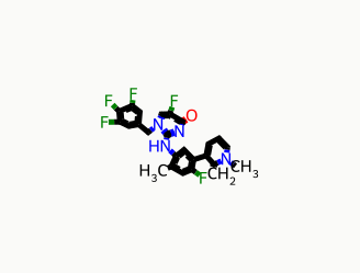 C=C1C(c2cc(Nc3nc(=O)c(F)cn3Cc3cc(F)c(F)c(F)c3)c(C)cc2F)=CC=CN1C